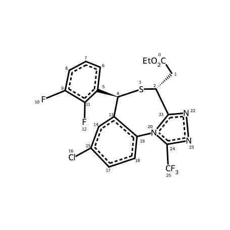 CCOC(=O)C[C@H]1S[C@H](c2cccc(F)c2F)c2cc(Cl)ccc2-n2c1nnc2C(F)(F)F